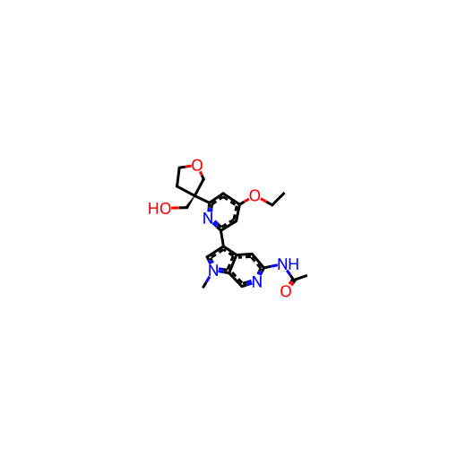 CCOc1cc(-c2cn(C)c3cnc(NC(C)=O)cc23)nc([C@]2(CO)CCOC2)c1